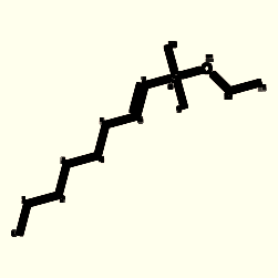 CCCCCCC=C[Si](C)(C)OCC